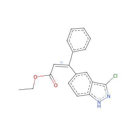 CCOC(=O)/C=C(/c1ccccc1)c1ccc2[nH]nc(Cl)c2c1